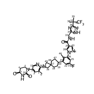 Cc1cc(N2CCC(=O)NC2=O)cnc1N1CC2(CCC(c3cc(F)cc(-n4cc(C(=O)NCc5nc(C(C)(C)C(F)(F)F)n[nH]5)cn4)c3C)CC2)C1